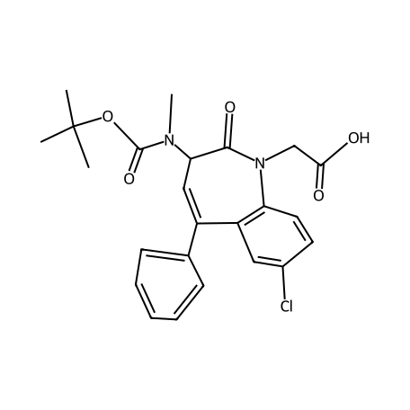 CN(C(=O)OC(C)(C)C)C1C=C(c2ccccc2)c2cc(Cl)ccc2N(CC(=O)O)C1=O